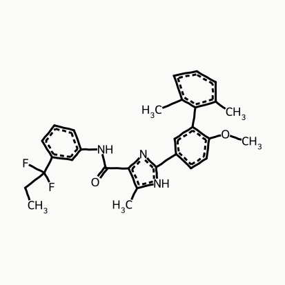 CCC(F)(F)c1cccc(NC(=O)c2nc(-c3ccc(OC)c(-c4c(C)cccc4C)c3)[nH]c2C)c1